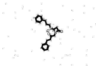 O=C(CCc1ccccc1)CN1C(=O)CC1[S+]([O-])CCCc1ccccc1